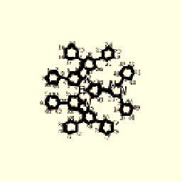 c1ccc(-c2cc3c4c(c2)c2c(-c5ccccc5)cc(-c5ccccc5)cc2n4-c2cc(-c4cc(-c5ccccc5)nc(-c5ccccc5)n4)cc4c2B3c2cc(-c3ccccc3)cc3c5c(-c6ccccc6)cc(-c6ccccc6)cc5n-4c23)cc1